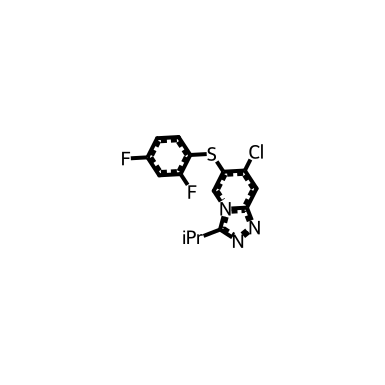 CC(C)c1nnc2cc(Cl)c(Sc3ccc(F)cc3F)cn12